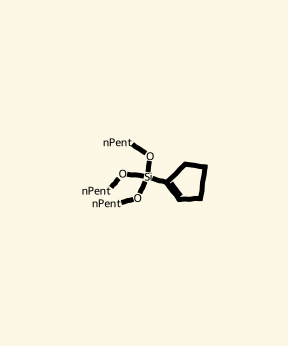 CCCCCO[Si](OCCCCC)(OCCCCC)C1=CCCC1